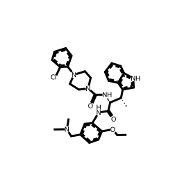 CCOc1ccc(CN(C)C)cc1NC(=O)[C@H](NC(=O)N1CCN(c2ccccc2Cl)CC1)[C@@H](C)c1c[nH]c2ccccc12